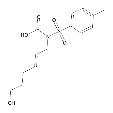 Cc1ccc(S(=O)(=O)N(C/C=C/CCCO)C(=O)O)cc1